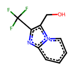 OCc1c(C(F)(F)F)nc2ccccn12